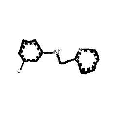 Clc1cccc(NCc2ccccn2)c1